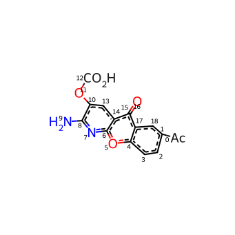 CC(=O)c1ccc2oc3nc(N)c(OC(=O)O)cc3c(=O)c2c1